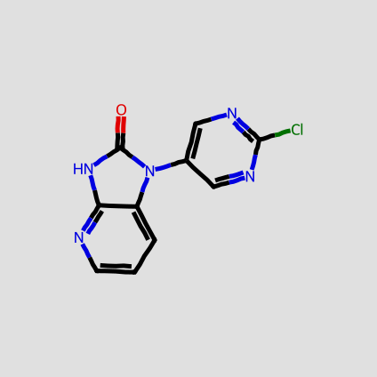 O=c1[nH]c2ncccc2n1-c1cnc(Cl)nc1